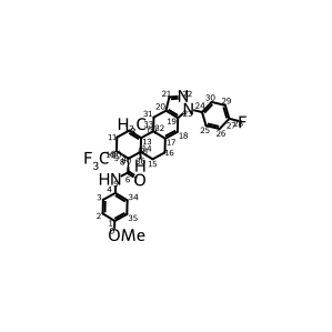 COc1ccc(NC(=O)[C@H]2[C@H](C(F)(F)F)CC=C3[C@@H]2CCC2=Cc4c(cnn4-c4ccc(F)cc4)C[C@@]23C)cc1